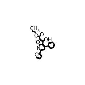 CCCOC(=O)c1oc2nc(-c3ccco3)cc(-c3ccccc3)c2c1O